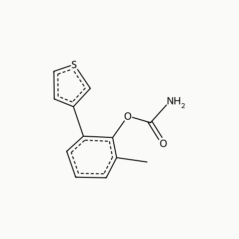 Cc1cccc(-c2ccsc2)c1OC(N)=O